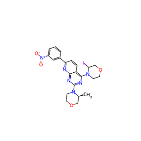 C[C@H]1COCCN1c1nc(N2CCOC[C@@H]2I)c2ccc(-c3cccc([N+](=O)[O-])c3)nc2n1